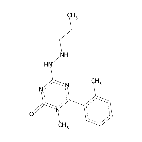 CCCNNc1nc(-c2ccccc2C)n(C)c(=O)n1